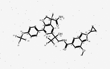 COc1cc(C(=O)NCC(O)(c2cc3c(c(-c4ccc(OC(F)(F)F)cc4)n2)OC[C@]3(C)C(N)=O)C(F)(F)F)cc2cn(C3CC3)nc12